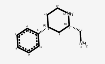 NC[C@@H]1C[C@H](c2ccccc2)CCN1